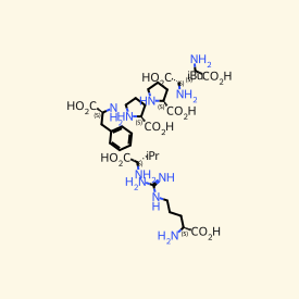 CC(C)[C@H](N)C(=O)O.CC[C@H](C)[C@H](N)C(=O)O.N=C(N)NCCC[C@H](N)C(=O)O.NCC(=O)O.N[C@@H](Cc1ccccc1)C(=O)O.O=C(O)[C@@H]1CCCN1.O=C(O)[C@@H]1CCCN1